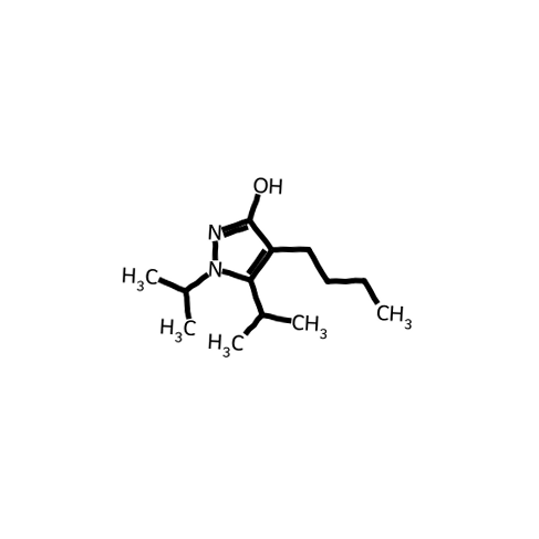 CCCCc1c(O)nn(C(C)C)c1C(C)C